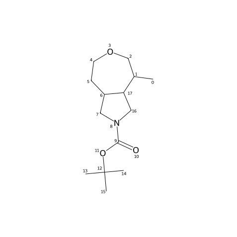 CC1COCCC2CN(C(=O)OC(C)(C)C)CC12